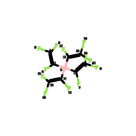 FC(F)=C(F)[B-](C(F)=C(F)F)(C(F)=C(F)F)C(F)=C(F)F